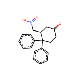 O=C1CCC(c2ccccc2)(c2ccccc2)[C@@H](C[N+](=O)[O-])C1